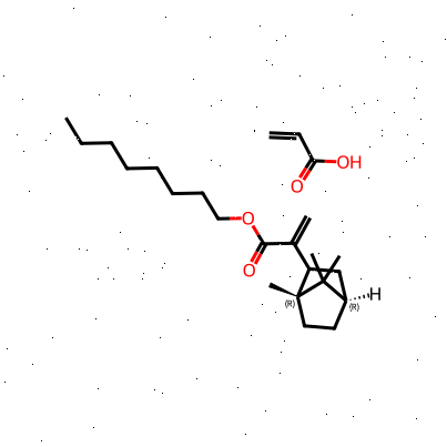 C=C(C(=O)OCCCCCCCC)C1C[C@H]2CC[C@@]1(C)C2(C)C.C=CC(=O)O